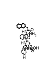 NC(=O)[C@H](Cc1ccc2ccccc2c1)NC(=O)[C@@H]1CCCCN1C(=O)[C@H](CSCP(=O)(O)O)NC(=O)CN1CCNCC1